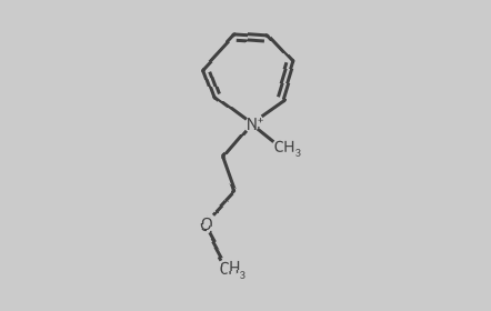 COCC[N+]1(C)C=CC=CC=C1